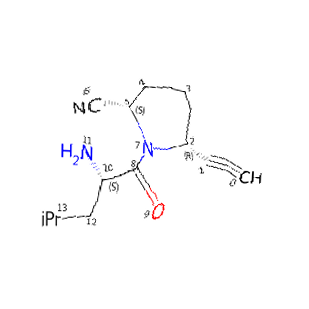 C#C[C@H]1CC[C@@H](C#N)N1C(=O)[C@@H](N)CC(C)C